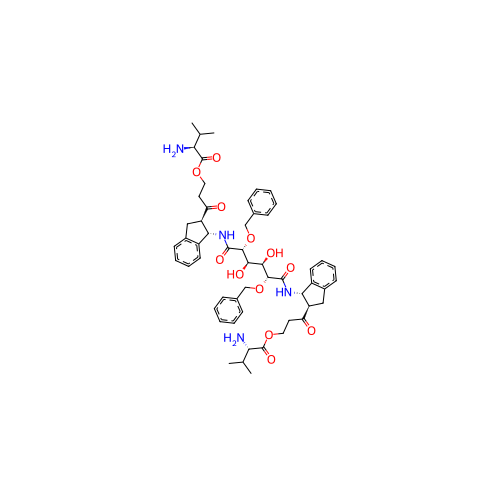 CC(C)[C@H](N)C(=O)OCCC(=O)[C@@H]1Cc2ccccc2[C@H]1NC(=O)[C@H](OCc1ccccc1)[C@H](O)[C@@H](O)[C@@H](OCc1ccccc1)C(=O)N[C@@H]1c2ccccc2C[C@H]1C(=O)CCOC(=O)[C@@H](N)C(C)C